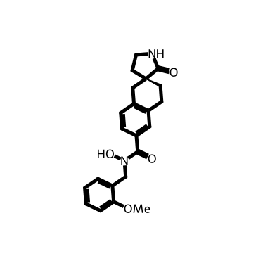 COc1ccccc1CN(O)C(=O)c1ccc2c(c1)CC[C@]1(CCNC1=O)C2